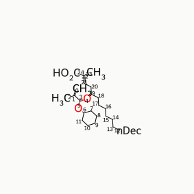 C=C(C)C(=O)OC1CCCCC1.CCCCCCCCCCCCCCCCCCC=C(C)C(=O)O